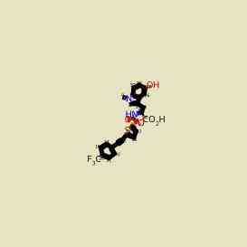 Cn1cc(C[C@H](NS(=O)(=O)c2ccc(C#Cc3ccc(C(F)(F)F)cc3)s2)C(=O)O)c2cc(O)ccc21